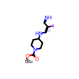 CC(C)(C)OC(=O)N1CCC(N/C=C(/I)C=N)CC1